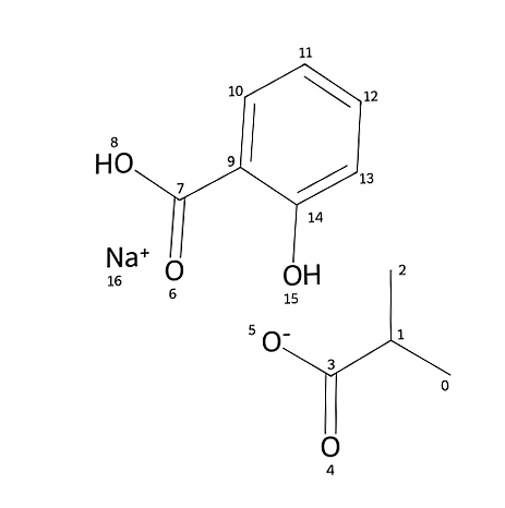 CC(C)C(=O)[O-].O=C(O)c1ccccc1O.[Na+]